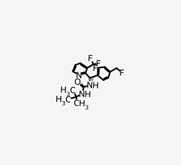 CC(C)(C)NC(=O)N[C@@H](c1ccc(CF)cc1)c1ncccc1C(F)(F)F